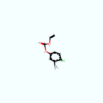 C=COC(=O)Oc1ccc(Cl)c(C(F)(F)F)c1